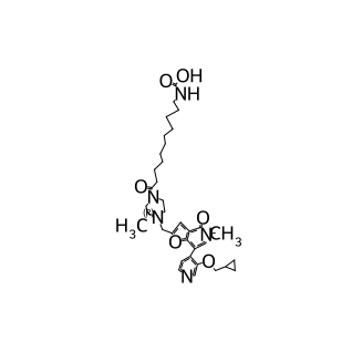 C[C@@H]1CN(C(=O)CCCCCCCCCCNC(=O)O)CCN1Cc1cc2c(=O)n(C)cc(-c3ccncc3OCC3CC3)c2o1